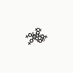 Cc1cc2c3c(c1)N(c1ccc(C(C)(C)C)c4oc5ccccc5c14)c1cc4c(cc1B3c1sc3ccc(C(C)(C)C)cc3c1N2c1ccc(C(C)(C)C)cc1)C(C)(C)CCC4(C)C